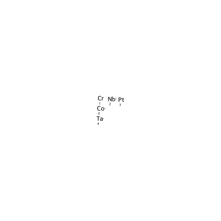 [Co].[Cr].[Nb].[Pt].[Ta]